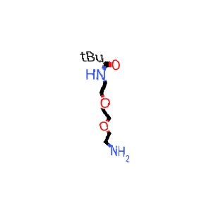 CC(C)(C)C(=O)NCCOCCOCCN